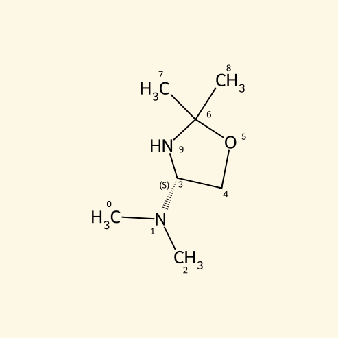 CN(C)[C@H]1COC(C)(C)N1